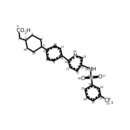 O=C(O)CC1CCC(c2ccc(-c3ccc(NS(=O)(=O)c4cccc(C(F)(F)F)c4)cn3)cc2)CC1